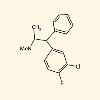 [CH2]C(NC)C(c1ccccc1)c1ccc(F)c(Cl)c1